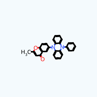 Cc1cc(=O)c2cc(N3c4ccccc4N(c4ccccc4)c4ccccc43)ccc2o1